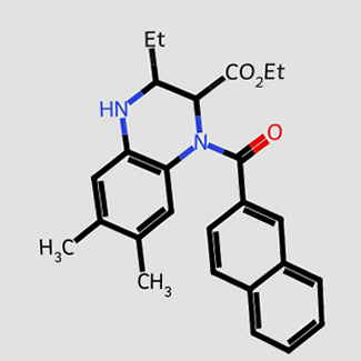 CCOC(=O)C1C(CC)Nc2cc(C)c(C)cc2N1C(=O)c1ccc2ccccc2c1